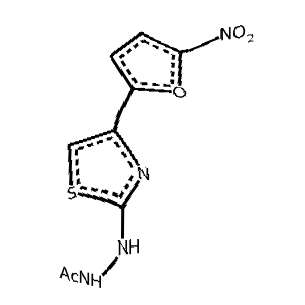 CC(=O)NNc1nc(-c2ccc([N+](=O)[O-])o2)cs1